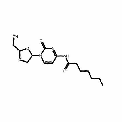 CCCCCCC(=O)Nc1ccn(C2COC(CO)O2)c(=O)n1